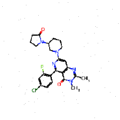 Cc1nc2cc(N3CCCC(N4CCCC4=O)C3)nc(-c3ccc(Cl)cc3F)c2c(=O)n1C